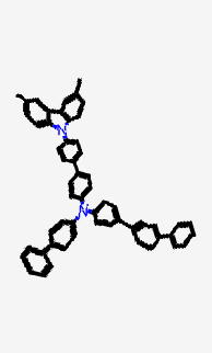 Cc1ccc2c(c1)c1cc(C)ccc1n2-c1ccc(-c2ccc(N(c3ccc(-c4ccccc4)cc3)c3ccc(-c4ccc(-c5ccccc5)cc4)cc3)cc2)cc1